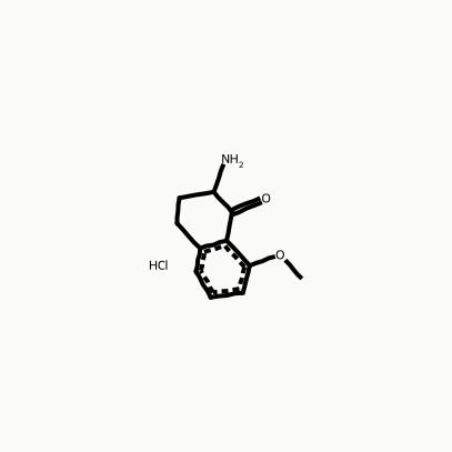 COc1cccc2c1C(=O)C(N)CC2.Cl